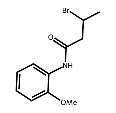 COc1ccccc1NC(=O)CC(C)Br